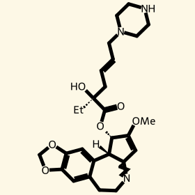 CC[C@](O)(C/C=C/CN1CCNCC1)C(=O)O[C@@H]1C(OC)=C[C@]23CCCN2CCc2cc4c(cc2[C@H]13)OCO4